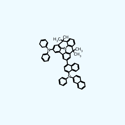 CC1(C)c2cccc3c2-n2c4c1cc(-c1ccc(N(c5ccccc5)c5ccc6ccccc6c5)c5ccccc15)cc4c1cc(N(C4=CC=CCC4)c4ccccc4)cc(c12)C3(C)C